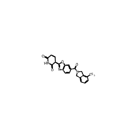 O=C1CCC(c2nc3ccc(C(=O)N4Cc5cccc(C(F)(F)F)c5C4)cc3o2)C(=O)N1